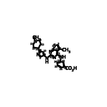 Cc1csc2nc(Nc3cnn(C4CCN(C)CC4)c3)nc(Nc3cccc(C(=O)O)c3)c12